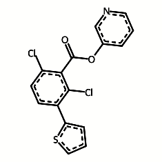 O=C(Oc1cccnc1)c1c(Cl)ccc(-c2cccs2)c1Cl